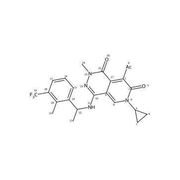 CC(=O)c1c(=O)n(C2CC2)cc2c(NC(C)c3cccc(C(F)(F)F)c3C)nn(C)c(=O)c12